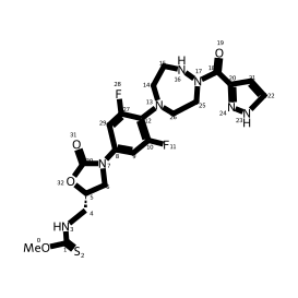 COC(=S)NC[C@H]1CN(c2cc(F)c(N3CCNN(C(=O)c4cc[nH]n4)CC3)c(F)c2)C(=O)O1